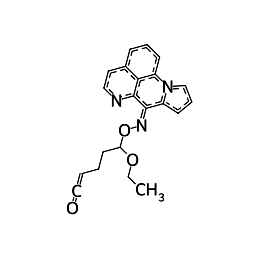 CCOC(CCC=C=O)ON=c1c2nccc3cccc(c32)n2cccc12